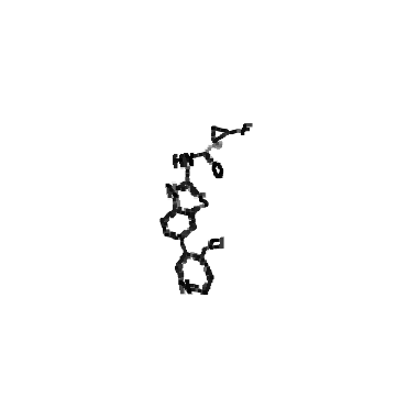 O=C(Nc1nc2ccc(-c3cnccc3Cl)cc2s1)[C@@H]1CC1F